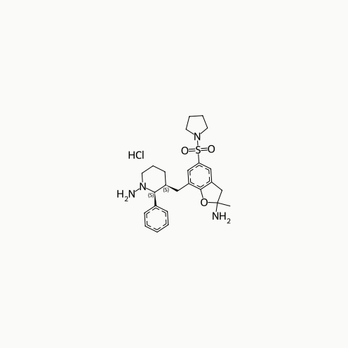 CC1(N)Cc2cc(S(=O)(=O)N3CCCC3)cc(C[C@@H]3CCCN(N)[C@@H]3c3ccccc3)c2O1.Cl